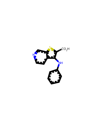 O=C(O)c1sc2cnccc2c1Nc1ccccc1